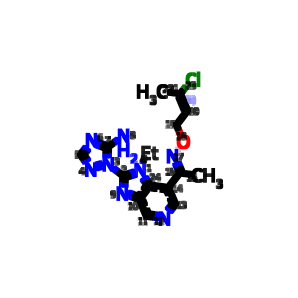 CCn1c(-n2ncnc2N)nc2cncc(C(C)=NOC/C=C(\C)Cl)c21